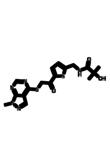 Cn1ncc2c(SCC(=O)c3ccc(CNC(=O)C(C)(C)O)s3)ncnc21